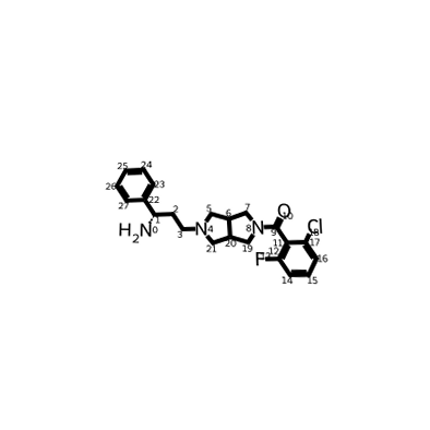 N[C@@H](CCN1CC2CN(C(=O)c3c(F)cccc3Cl)CC2C1)c1ccccc1